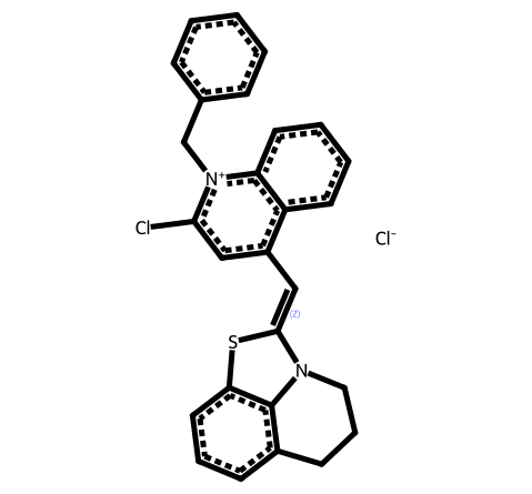 Clc1cc(/C=C2\Sc3cccc4c3N2CCC4)c2ccccc2[n+]1Cc1ccccc1.[Cl-]